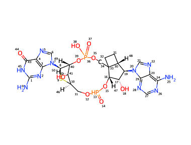 Nc1nc2c(ncn2[C@@H]2S[C@@H]3CO[PH](=O)O[C@H]4[C@@H](O)[C@H](n5cnc6c(N)ncnc65)[C@H]5CCC54COP(=O)(O)O[C@@H]2[C@@H]3O)c(=O)[nH]1